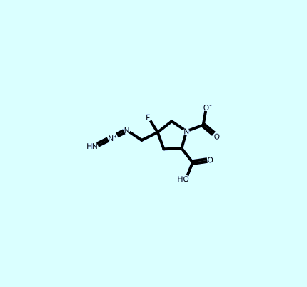 N=[N+]=NCC1(F)CC(C(=O)O)N(C(=O)[O-])C1